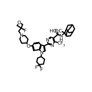 O=C(NC1(C(=O)O)C2CC3CC(C2)CC1C3)c1cnc(-c2cn(C3CCC(F)(F)CC3)c3cc(OC4CCN(CC5(F)COC5)CC4)ccc23)nc1C(F)(F)F